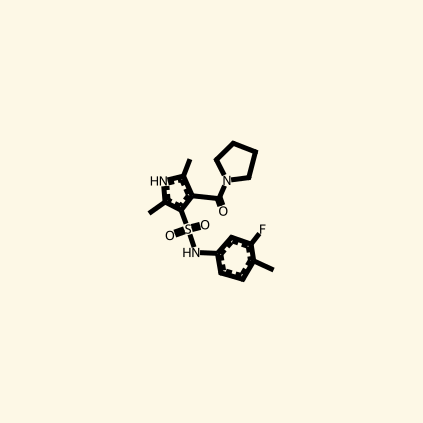 Cc1ccc(NS(=O)(=O)c2c(C)[nH]c(C)c2C(=O)N2CCCC2)cc1F